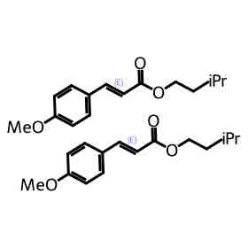 COc1ccc(/C=C/C(=O)OCCC(C)C)cc1.COc1ccc(/C=C/C(=O)OCCC(C)C)cc1